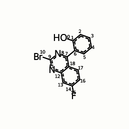 Oc1ccccc1-c1nc(Br)nc2cc(F)ccc12